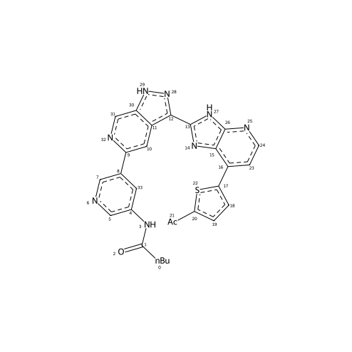 CCCCC(=O)Nc1cncc(-c2cc3c(-c4nc5c(-c6ccc(C(C)=O)s6)ccnc5[nH]4)n[nH]c3cn2)c1